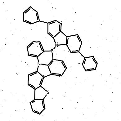 c1ccc(-c2ccc3c4ccc(-c5ccccc5)cc4n(B4c5ccccc5-n5c6ccc7c8ccccc8sc7c6c6cccc4c65)c3c2)cc1